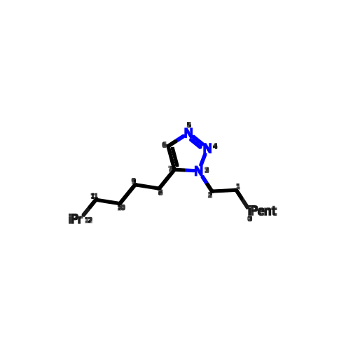 CCCC(C)CCn1nncc1CCCCC(C)C